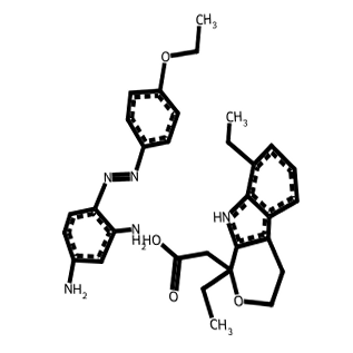 CCOc1ccc(N=Nc2ccc(N)cc2N)cc1.CCc1cccc2c3c([nH]c12)C(CC)(CC(=O)O)OCC3